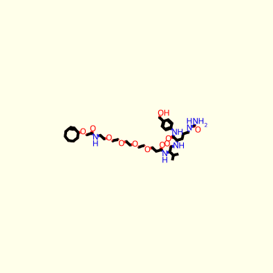 CC(C)C(NC(=O)CCOCCOCCOCCOCCNC(=O)COC1C#CCCCCC1)C(=O)NC(CCCNC(N)=O)C(=O)Nc1ccc(CO)cc1